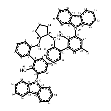 Cc1cc(-c2ccccc2OC2CCC[C@H]2Oc2ccccc2-c2cc(C)cc(-n3c4ccccc4c4ccccc43)c2O)c(O)c(-n2c3ccccc3c3ccccc32)c1